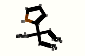 C=CC(C=C)(CCCCC)c1cccs1